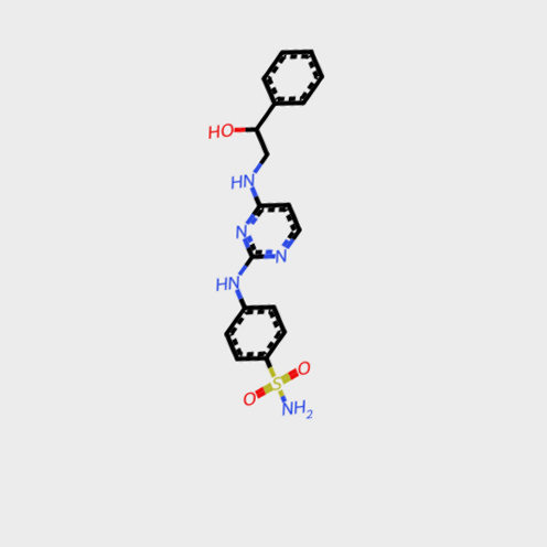 NS(=O)(=O)c1ccc(Nc2nccc(NCC(O)c3ccccc3)n2)cc1